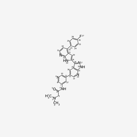 CN(C)CC(=O)Nc1cncc(-c2cnc3[nH]nc(-c4cc5c(-c6ccc(F)cc6)ccnc5[nH]4)c3c2)c1